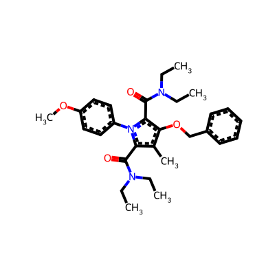 CCN(CC)C(=O)c1c(C)c(OCc2ccccc2)c(C(=O)N(CC)CC)n1-c1ccc(OC)cc1